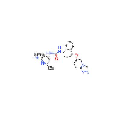 CSNc1cc(NC(=O)NC2CCC(Oc3ccc4nncn4c3)c3ccccc32)cc(C(C)(C)C)n1